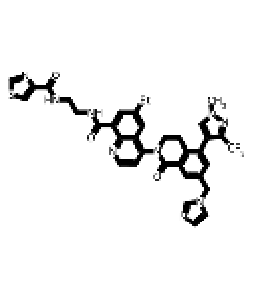 CCc1cc(C(=O)NCCNC(=O)c2cscn2)c2nccc(N3CCc4c(cc(Cn5ccnc5)cc4-c4cn(C)nc4C(F)(F)F)C3=O)c2c1